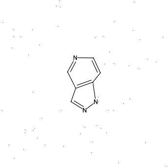 C1=N[N]c2ccncc21